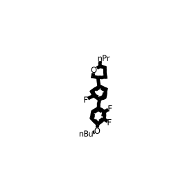 CCCCOc1ccc(-c2ccc(C3CCC(CCC)OC3)cc2F)c(F)c1F